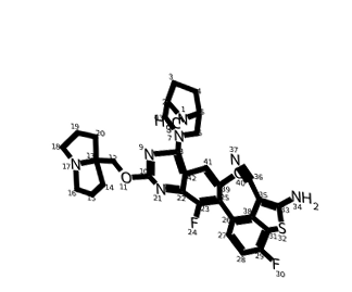 CN1C2CCC1CN(c1nc(OCC34CCCN3CCC4)nc3c(F)c(-c4ccc(F)c5sc(N)c(C#N)c45)c(Cl)cc13)C2